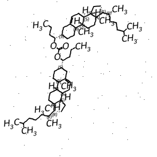 CCCC(OC(=O)OC(CCC)[C@H]1CC[C@@]2(C)C(=CC[C@H]3[C@@H]4CC[C@H]([C@H](C)CCCC(C)C)[C@@]4(C)CC[C@@H]32)C1)[C@H]1CC[C@@]2(C)C(=CC[C@H]3[C@@H]4CC[C@H]([C@H](C)CCCC(C)C)[C@@]4(C)CC[C@@H]32)C1